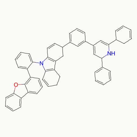 C1=CCC(C2=CC(c3cccc(C4C=Cc5c(c6c(n5-c5ccccc5-c5cccc7c5oc5ccccc57)C=CCC6)C4)c3)=CC(c3ccccc3)N2)C=C1